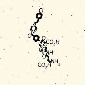 CC(C)OCCN(C(=O)C(SCCNC(=O)CC[C@@H](N)C(=O)O)C(=O)O)c1ccc(C(=O)N2CCN(CCc3ccc(Cl)cc3)CC2)cc1